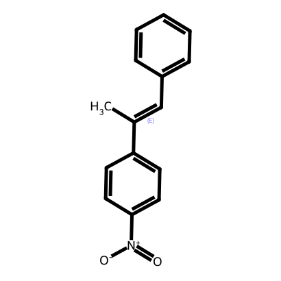 C/C(=C\c1ccccc1)c1ccc([N+](=O)[O-])cc1